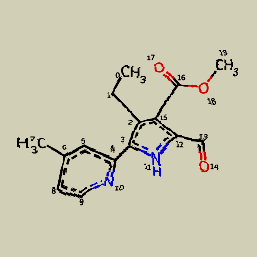 CCc1c(-c2cc(C)ccn2)[nH]c(C=O)c1C(=O)OC